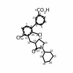 O=C(O)c1cccc(-c2ccc(Cl)c(CC3CCN(C4CCCCC4)C3=O)c2Cl)c1